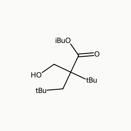 CC(C)COC(=O)C(CO)(CC(C)(C)C)C(C)(C)C